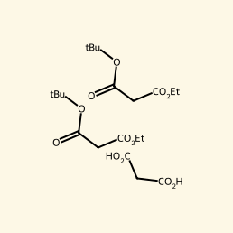 CCOC(=O)CC(=O)OC(C)(C)C.CCOC(=O)CC(=O)OC(C)(C)C.O=C(O)CC(=O)O